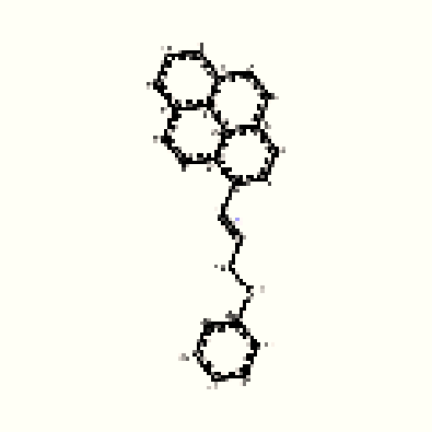 C(=C\c1ccc2ccc3cccc4ccc1c2c34)/CSc1ccccc1